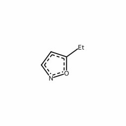 [CH2]Cc1ccno1